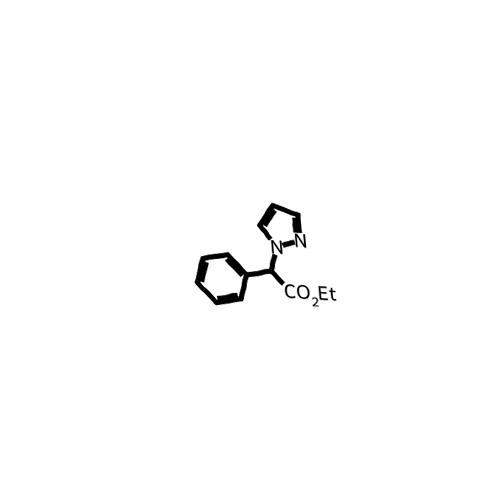 CCOC(=O)C(c1ccccc1)n1cccn1